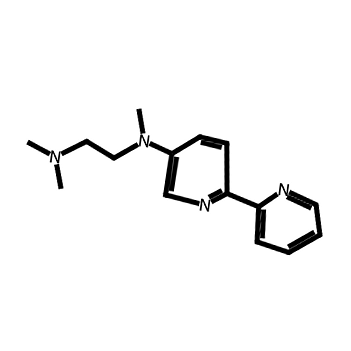 CN(C)CCN(C)c1ccc(-c2ccccn2)nc1